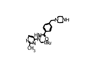 Cc1nccc(N(CC(C)(C)C)NC(=O)c2ccc(CN3CCNCC3)cc2)n1